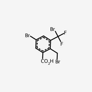 O=C(O)c1cc(Br)cc(C(F)(F)Br)c1CBr